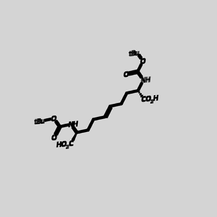 CC(C)(C)OC(=O)N[C@@H](CCC=CCC[C@H](NC(=O)OC(C)(C)C)C(=O)O)C(=O)O